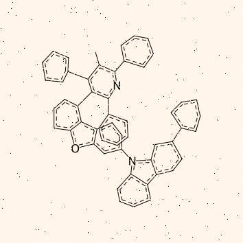 Cc1c(-c2ccccc2)nc(-c2ccccc2)c(-c2cccc3oc4cc(-n5c6ccccc6c6ccc(-c7ccccc7)cc65)ccc4c23)c1-c1ccccc1